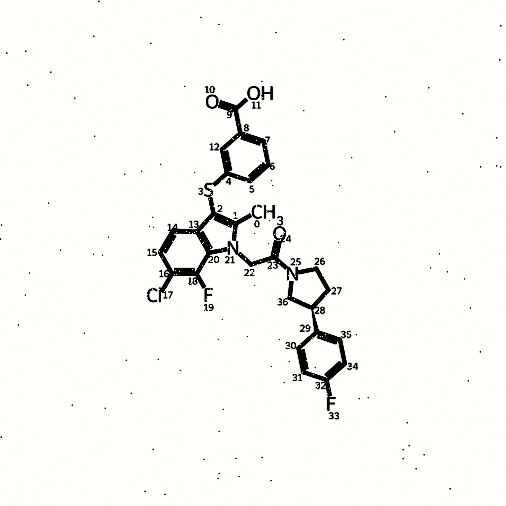 Cc1c(Sc2cccc(C(=O)O)c2)c2ccc(Cl)c(F)c2n1CC(=O)N1CC[C@@H](c2ccc(F)cc2)C1